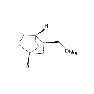 COC[C@H]1C[C@@H]2CC[C@H]1C2